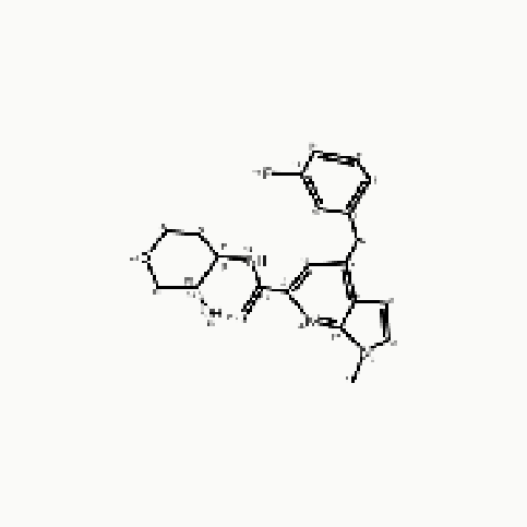 Cn1ccc2c(Cc3cccc(F)c3)cc(C(=O)N[C@@H]3CCOC[C@H]3O)nc21